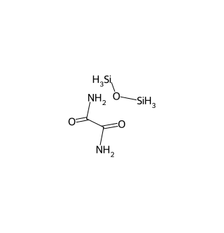 NC(=O)C(N)=O.[SiH3]O[SiH3]